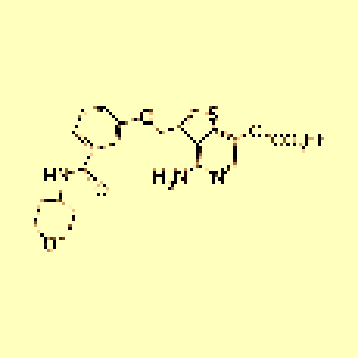 CCOC(=O)Oc1cnc(N)c2c(COc3cccc(C(=O)NC4CCOCC4)c3)csc12